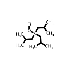 CC(C)C[Si](CC(C)C)(CC(C)C)[O][Ti]